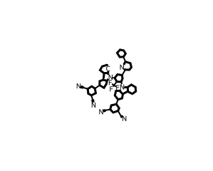 N#Cc1cc(C#N)cc(-c2ccc3c(c2)c2ccccc2n3-c2cc(-c3cccc(-c4ccccc4)n3)cc(-n3c4ccccc4c4cc(-c5cc(C#N)cc(C#N)c5)ccc43)c2C(F)(F)F)c1